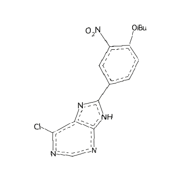 CC(C)COc1ccc(-c2nc3c(Cl)ncnc3[nH]2)cc1[N+](=O)[O-]